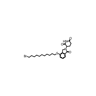 O=C1CCC(N2Cc3c(SCCCCCCCCCCCBr)cccc3C2=O)C(=O)N1